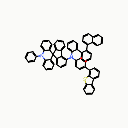 c1ccc(N2c3ccccc3C3(c4ccccc4-c4c(N(c5ccc(-c6cccc7c6sc6ccccc67)cc5)c5ccccc5-c5ccccc5-c5cccc6ccccc56)cccc43)c3ccccc32)cc1